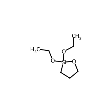 CCO[Si]1(OCC)CCCO1